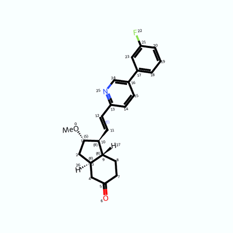 CO[C@H]1C[C@@H]2CC(=O)CC[C@H]2[C@@H]1/C=C/c1ccc(-c2cccc(F)c2)cn1